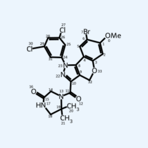 COc1cc2c(cc1Br)-c1c(c(C(=O)N3CC(=O)NCC3(C)C)nn1-c1cc(Cl)cc(Cl)c1)CO2